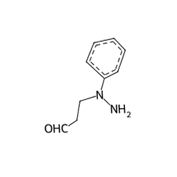 NN(CCC=O)c1ccccc1